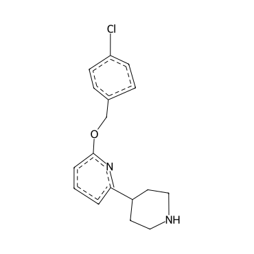 Clc1ccc(COc2cccc(C3CCNCC3)n2)cc1